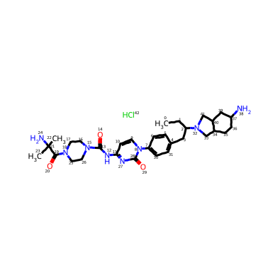 CCC(Cc1ccc(-n2ccc(NC(=O)N3CCN(C(=O)C(C)(C)N)CC3)nc2=O)cc1)N1CC2CCC(N)CC2C1.Cl